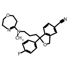 CN(CCCC1(c2ccc(F)cc2)OCc2cc(C#N)ccc21)C1=NCCOCC1